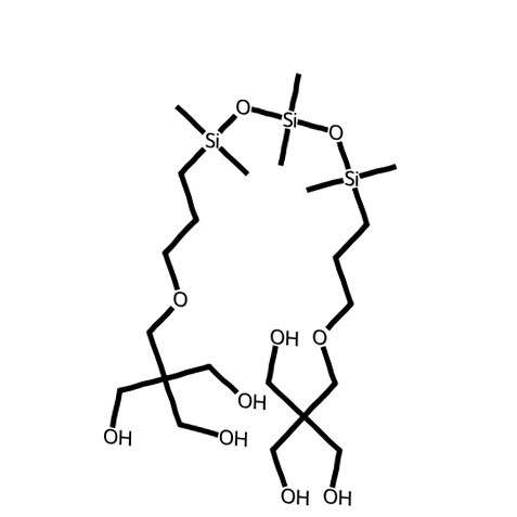 C[Si](C)(CCCOCC(CO)(CO)CO)O[Si](C)(C)O[Si](C)(C)CCCOCC(CO)(CO)CO